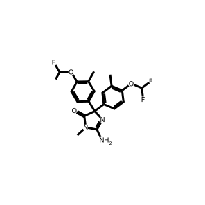 Cc1cc(C2(c3ccc(OC(F)F)c(C)c3)N=C(N)N(C)C2=O)ccc1OC(F)F